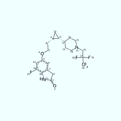 O=C1Cc2cc(OCC[C@@H]3C[C@@H]3C3CCN(CC(F)(F)C(F)(F)F)CC3)cc(F)c2N1